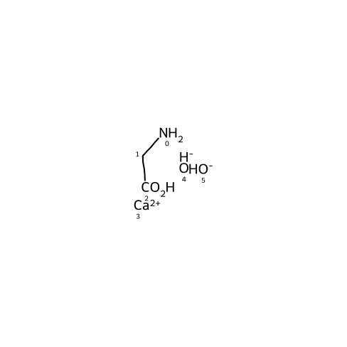 NCC(=O)O.[Ca+2].[OH-].[OH-]